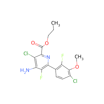 CCCOC(=O)c1nc(-c2ccc(Cl)c(OC)c2F)c(F)c(N)c1Cl